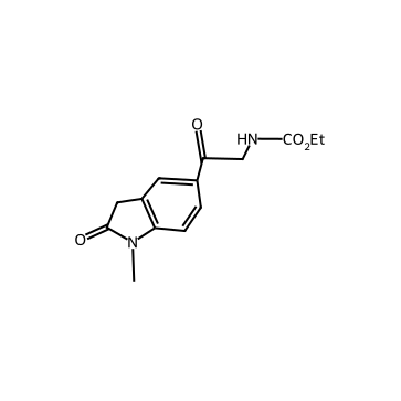 CCOC(=O)NCC(=O)c1ccc2c(c1)CC(=O)N2C